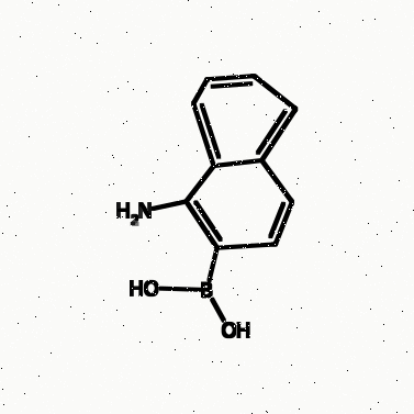 Nc1c(B(O)O)ccc2ccccc12